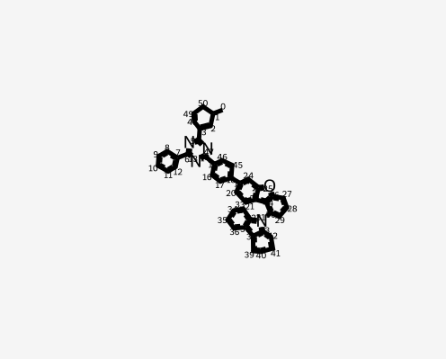 CC1C=C(c2nc(-c3ccccc3)nc(-c3ccc(-c4ccc5c(c4)oc4cccc(-n6c7ccccc7c7ccccc76)c45)cc3)n2)C=CC1